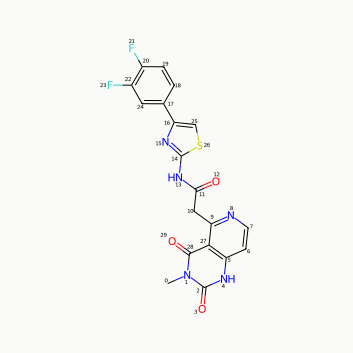 Cn1c(=O)[nH]c2ccnc(CC(=O)Nc3nc(-c4ccc(F)c(F)c4)cs3)c2c1=O